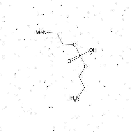 CNCCOP(=O)(O)OCCN